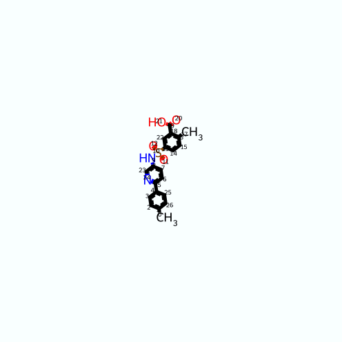 Cc1ccc(-c2ccc(NS(=O)(=O)c3ccc(C)c(C(=O)O)c3)cn2)cc1